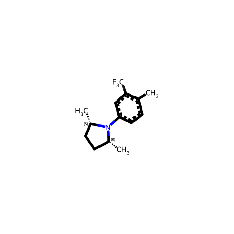 Cc1ccc(N2[C@H](C)CC[C@@H]2C)cc1C(F)(F)F